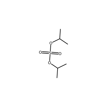 CC(C)OS(=O)(=O)OC(C)C